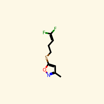 Cc1cc(SCCC=C(F)F)on1